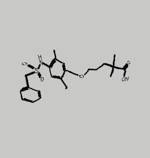 Cc1cc(OCCCC(C)(C)C(=O)O)c(C)cc1NS(=O)(=O)Cc1ccccc1